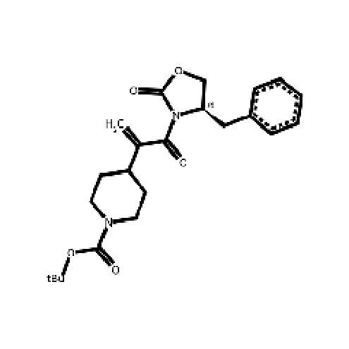 C=C(C(=O)N1C(=O)OC[C@H]1Cc1ccccc1)C1CCN(C(=O)OC(C)(C)C)CC1